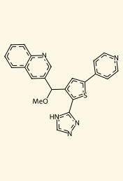 COC(c1cnc2ccccc2c1)c1cc(-c2ccncc2)sc1-c1nnc[nH]1